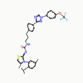 Cc1ccc(C(C)C)c(-n2c(C)cs/c2=N\C(=O)NCCCc2ccc(-c3ncn(-c4ccc(OC(F)(F)F)cc4)n3)cc2)c1